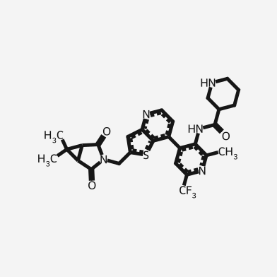 Cc1nc(C(F)(F)F)cc(-c2ccnc3cc(CN4C(=O)C5C(C4=O)C5(C)C)sc23)c1NC(=O)C1CCCNC1